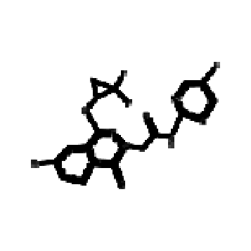 O=C(Cn1nc(O[C@H]2CC2(F)F)c2cc(Br)ccc2c1=O)Nc1ncc(F)cn1